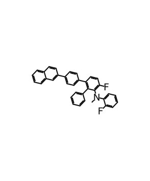 CN(c1ccccc1F)c1c(F)ccc(-c2ccc(-c3ccc4ccccc4c3)cc2)c1-c1ccccc1